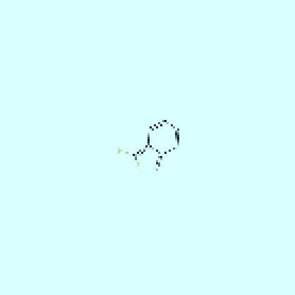 [S]c1scc2ccccc12